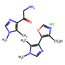 CCOC(=O)c1ncoc1-c1ncn(C)c1C.Cc1c(C(=O)CN)ncn1C.Cl